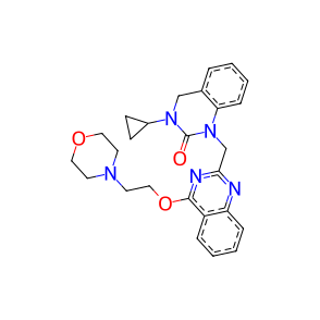 O=C1N(Cc2nc(OCCN3CCOCC3)c3ccccc3n2)c2ccccc2CN1C1CC1